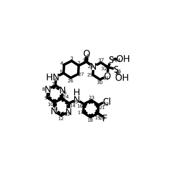 O=C(C1CCC(Nc2ncc3ncnc(Nc4ccc(F)c(Cl)c4)c3n2)CC1)N1CCOC(SO)(SO)C1